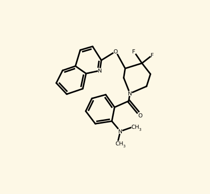 CN(C)c1ccccc1C(=O)N1CCC(F)(F)C(Oc2ccc3ccccc3n2)C1